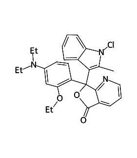 CCOc1cc(N(CC)CC)ccc1C1(c2c(C)n(Cl)c3ccccc23)OC(=O)c2cccnc21